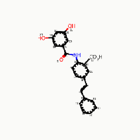 O=C(Nc1ccc(/C=C/c2ccccc2)cc1C(=O)O)c1cc(O)cc(O)c1